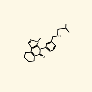 CC(C)CNCc1cccc(-n2c(=O)c3c(c4cnn(C)c42)CCCC3)c1